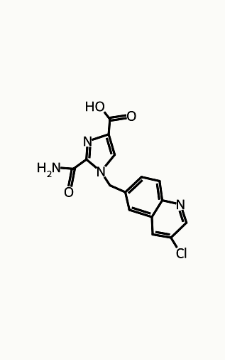 NC(=O)c1nc(C(=O)O)cn1Cc1ccc2ncc(Cl)cc2c1